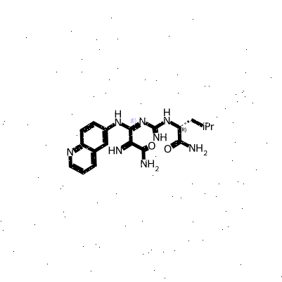 CC(C)C[C@@H](NC(=N)/N=C(/Nc1ccc2ncccc2c1)C(=N)C(N)=O)C(N)=O